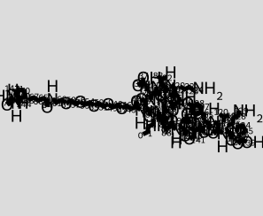 CCCCC[C@H](NC(=O)[C@@H](C)NC(=O)[C@H](C)NC(=O)[C@@H](CCCCN)NC(=O)[C@@H](NC(=O)[C@@H](CCC(=O)O)NC(=O)C(NC(=O)CCOCCOCCOCCOCCOCCNC(=O)CCCC[C@@H]1CC[C@H]2NC(=O)N[C@@H]12)[C@@H](C)O)C(C)C)C(=O)N[C@H](C)C(=O)N[C@@H](CC(=O)O)C(=O)NC(C(=O)N[C@@H](Cc1ccc(O)cc1)C(=O)N[C@H](CC(C)C)C(=O)N[C@@H](CCCCN)C(=O)N1CCC[C@@H]1C(=O)O)[C@H](C)O